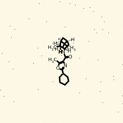 Cc1oc(C2CCCCC2)nc1C(=O)N[C@@H]1C[C@@H]2C[C@H]([C@H]1C)C2(C)C